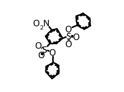 O=[N+]([O-])c1cc(S(=O)(=O)Oc2ccccc2)cc(S(=O)(=O)Oc2ccccc2)c1